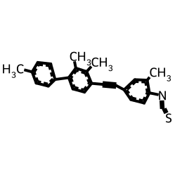 Cc1ccc(-c2ccc(C#Cc3ccc(N=C=S)c(C)c3)c(C)c2C)cc1